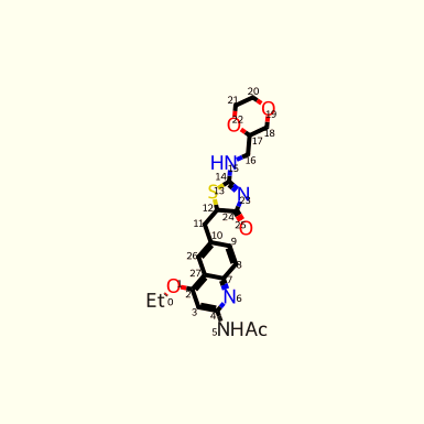 CCOc1cc(NC(C)=O)nc2ccc(CC3SC(NCC4COCCO4)=NC3=O)cc12